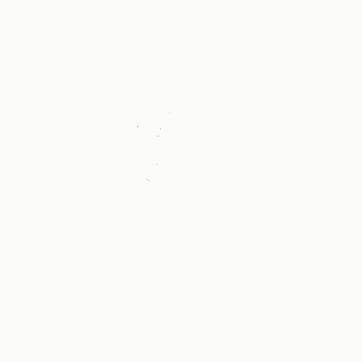 CC1(C)c2cc(N(c3ccccc3)c3ccc(-c4ccc5ccccc5c4-c4ccccc4)cc3)ccc2-c2c(-c3ccc(-c4ccccc4)cc3)cccc21